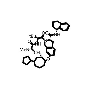 CN[C@@H](C)C(=O)N[C@H](C(=O)N1Cc2cc(OC3CCCC(C4CCCC4)CC3)ccc2C[C@H]1C(=O)N[C@@H]1CCCc2ccccc21)C(C)(C)C